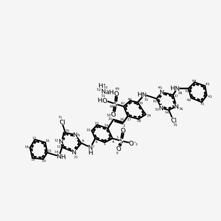 O=S(=O)([O-])c1cc(Nc2nc(Cl)nc(Nc3ccccc3)n2)ccc1C=Cc1ccc(Nc2nc(Cl)nc(Nc3ccccc3)n2)cc1S(=O)(=O)O.[H+].[NaH]